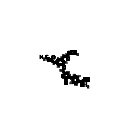 COC(=O)Cc1cc(CC(=O)OC)cc(OCC2CN(c3ccc(C(=N)N)cc3)C(=O)O2)c1